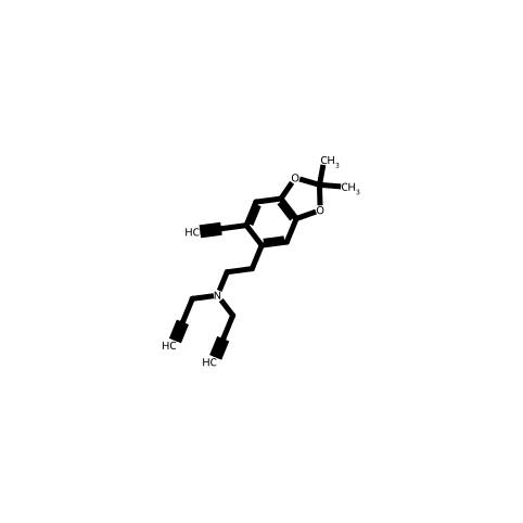 C#CCN(CC#C)CCc1cc2c(cc1C#C)OC(C)(C)O2